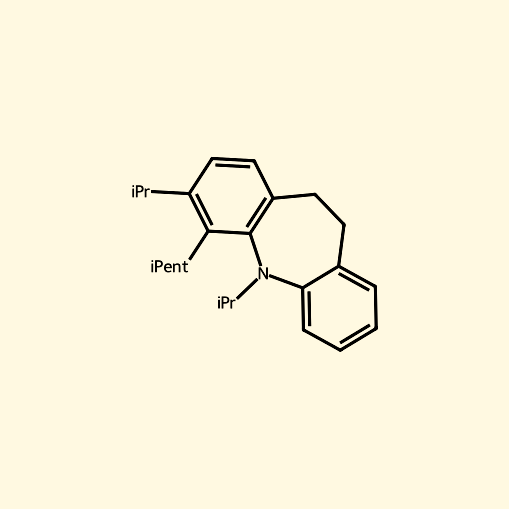 CCCC(C)c1c(C(C)C)ccc2c1N(C(C)C)c1ccccc1CC2